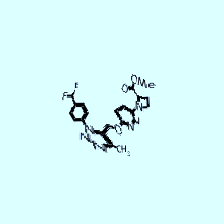 COC(=O)[C@H]1CCN1c1ccc(OCc2c(C)nnn2-c2ccc(C(F)F)cc2)nn1